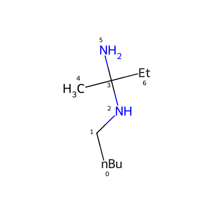 CCCCCNC(C)(N)CC